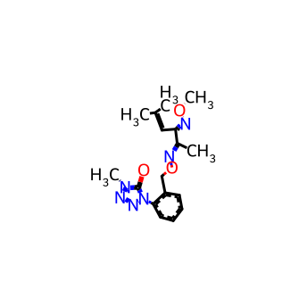 CO/N=C(C=C(C)C)/C(C)=N/OCc1ccccc1-n1nnn(C)c1=O